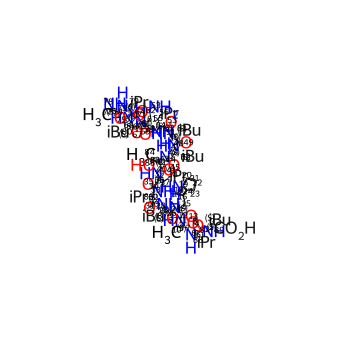 CC[C@H](C)[C@H](NC(=O)[C@@H](NC(=O)[C@H](C)NC(=O)[C@H](Cc1c[nH]c2ccccc12)NC(=O)[C@@H](NC(=O)[C@@H](NC(=O)[C@H](CC(C)C)NC(=O)[C@@H](NC(=O)[C@@H](NC(=O)[C@@H](NC(=O)[C@H](CC(C)C)NC(=O)[C@H](CC(N)=O)NC(=O)[C@@H](NC(=O)[C@@H](NC(=O)[C@H](C)N)C(C)C)[C@@H](C)CC)[C@@H](C)CC)[C@@H](C)CC)[C@@H](C)O)C(C)C)[C@@H](C)CC)C(C)C)C(=O)O